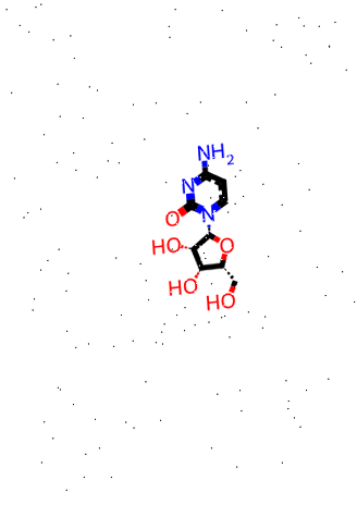 Nc1ccn([C@@H]2O[C@H](CO)[C@H](O)[C@@H]2O)c(=O)n1